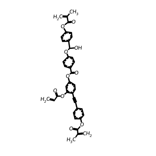 C=CC(=O)Oc1cc(OC(=O)c2ccc(OC(O)c3ccc(OC(=O)C(=C)C)cc3)cc2)ccc1C#Cc1ccc(OC(=O)C(=C)C)cc1